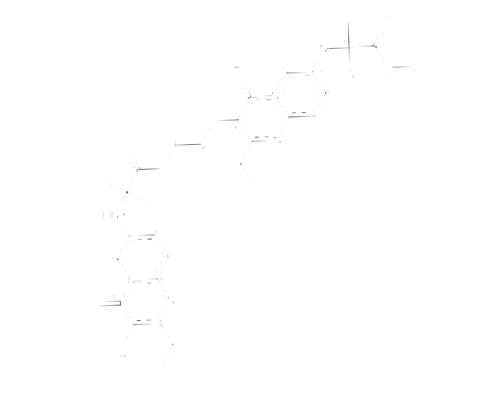 CCc1nc2ccc(NC(C)(C)C(=O)OCCOc3c(CC)nc4ccc(NC(C)(C)C(=O)OC)cn4c3=O)cn2c(=O)c1O